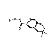 CC1(F)C=c2cc(C(=O)N=[N+]=[N-])ncc2=CC1